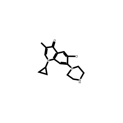 Cc1cn(C2CC2)c2cc(N3CCNCC3)c(Cl)cc2c1=O